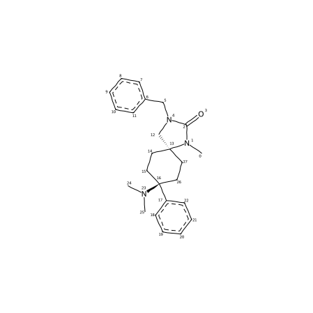 CN1C(=O)N(Cc2ccccc2)C[C@]12CC[C@](c1ccccc1)(N(C)C)CC2